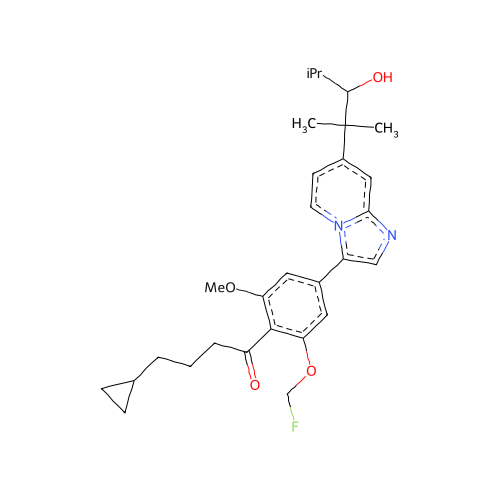 COc1cc(-c2cnc3cc(C(C)(C)C(O)C(C)C)ccn23)cc(OCF)c1C(=O)CCCC1CC1